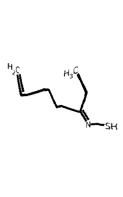 C=CCC/C(CC)=N/S